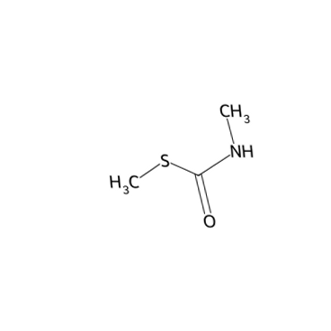 CNC(=O)SC